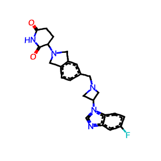 O=C1CCC(N2Cc3ccc(CN4CC(n5cnc6cc(F)ccc65)C4)cc3C2)C(=O)N1